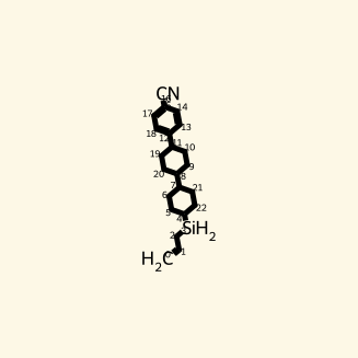 C=CC[SiH2]C1CCC(C2CCC(c3ccc(C#N)cc3)CC2)CC1